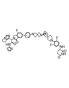 O=C1CCC(Nc2cc(F)c(N3CCC(O)(CC(=O)N4CC5(C4)CN(c4ccc(-c6cc(F)c7c(c6)C(=O)N(C(C(=O)Nc6nccs6)c6ncn8c6CCC8)C7)cc4)C5)CC3)c(F)c2)C(=O)N1